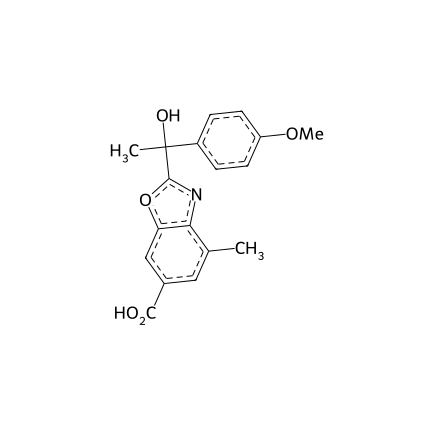 COc1ccc(C(C)(O)c2nc3c(C)cc(C(=O)O)cc3o2)cc1